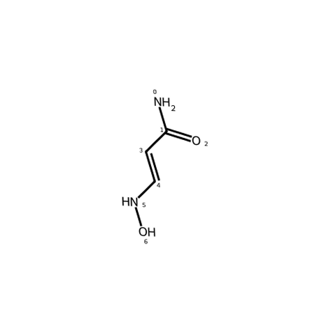 NC(=O)C=CNO